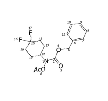 CC(=O)ON(C(=O)OCc1ccccc1)C1CCC(F)(F)CC1